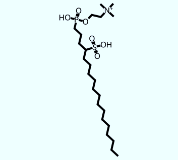 CCCCCCCCCCCCCCC(CCCP(=O)(O)OCC[N+](C)(C)C)S(=O)(=O)O